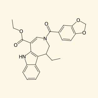 CCOC(=O)C1=CN(C(=O)c2ccc3c(c2)OCO3)CC(CC)c2c1[nH]c1ccccc21